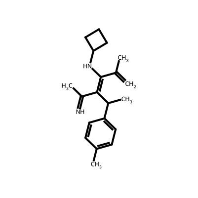 C=C(C)/C(NC1CCC1)=C(/C(C)=N)C(C)c1ccc(C)cc1